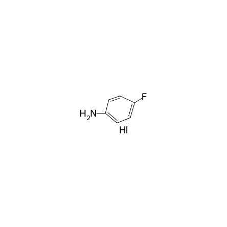 I.Nc1ccc(F)cc1